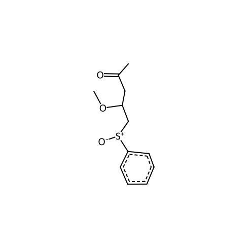 COC(CC(C)=O)C[S+]([O-])c1ccccc1